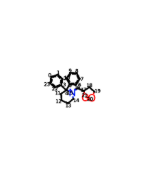 c1ccc(C2(c3ccccc3)CCCCN2CC2CCOO2)cc1